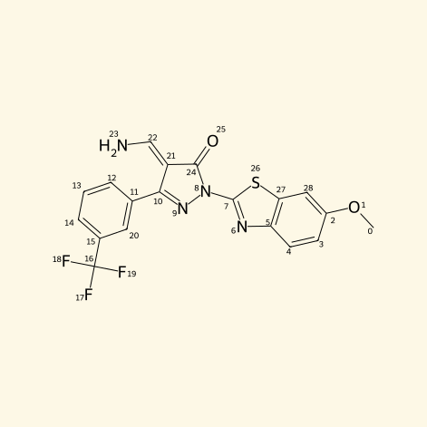 COc1ccc2nc(N3N=C(c4cccc(C(F)(F)F)c4)/C(=C\N)C3=O)sc2c1